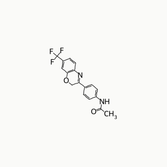 CC(=O)Nc1ccc(C2=Nc3ccc(C(F)(F)F)cc3OC2)cc1